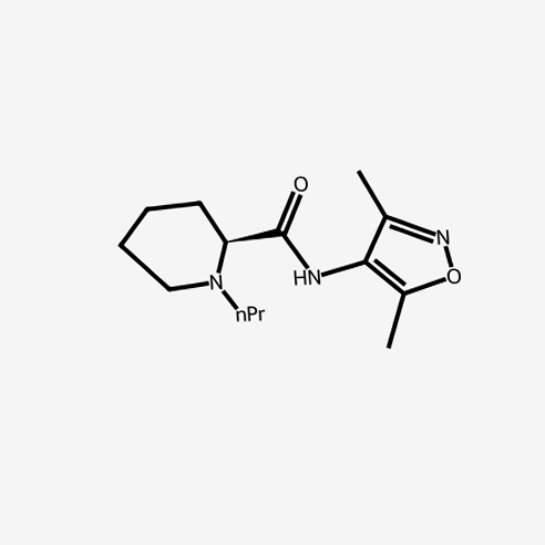 CCCN1CCCC[C@H]1C(=O)Nc1c(C)noc1C